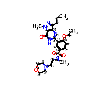 CCCc1nn(C)c2c(=O)[nH]c(-c3cc(S(=O)(=O)N(C)CCN4CCOCC4)ccc3OCC)nc12